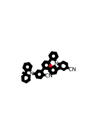 CC12C=CC=CC1N(c1ccc(C#N)c(-c3ccc(-c4ccccc4-n4c5c(c6ccccc64)CC(C#N)C=C5)cc3)c1)c1ccccc12